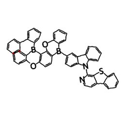 c1ccc(-c2ccccc2B2c3ccccc3Oc3ccc4c(c32)Oc2ccccc2B4c2ccc3c(c2)c2ccccc2n3-c2nccc3c2sc2ccccc23)cc1